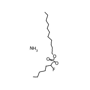 CCCCCCCCCCCOS(=O)(=O)C(F)CCCCC.N